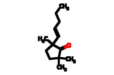 CCC/C=C/C1(C)CCC(C)(C)C1=O